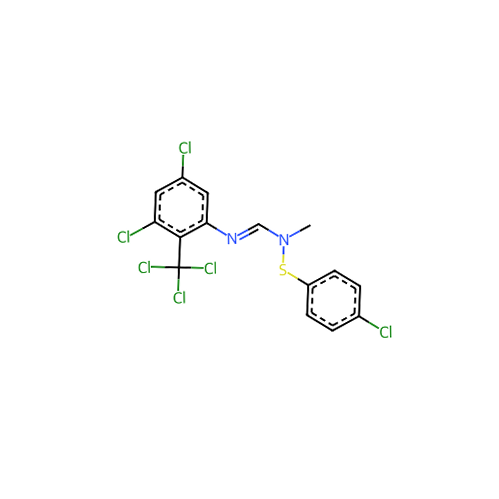 CN(C=Nc1cc(Cl)cc(Cl)c1C(Cl)(Cl)Cl)Sc1ccc(Cl)cc1